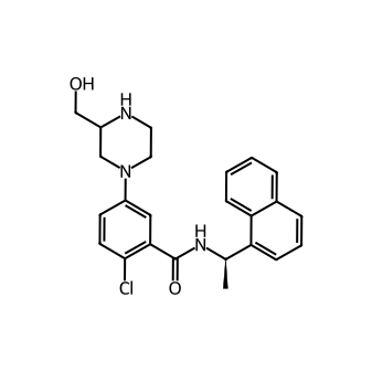 C[C@@H](NC(=O)c1cc(N2CCNC(CO)C2)ccc1Cl)c1cccc2ccccc12